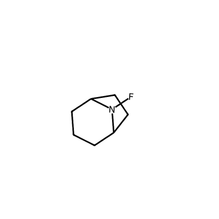 FN1C2CCCC1CC2